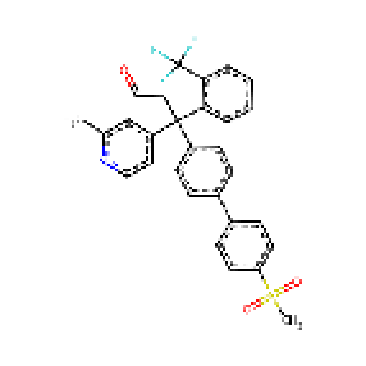 Cc1cc(C(CC=O)(c2ccc(-c3ccc(S(C)(=O)=O)cc3)cc2)c2ccccc2C(F)(F)F)ccn1